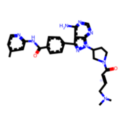 Cc1ccnc(NC(=O)c2ccc(-c3nn(C4CCN(C(=O)/C=C/CN(C)C)C4)c4ncnc(N)c34)cc2)c1